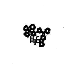 CC1(C)c2ccccc2-c2ccc(N(c3ccccc3)c3cccc(-c4cccc5c4-c4ccccc4C5(c4ccccc4)c4ccccc4)c3)cc21